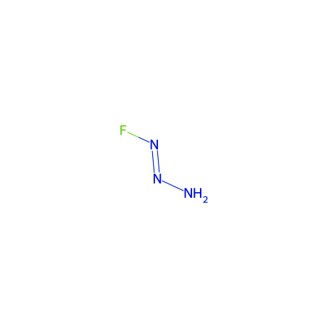 NN=NF